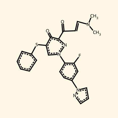 CN(C)/C=C/C(=O)c1nn(-c2ccc(-n3cccn3)cc2F)cc(Sc2ccccc2)c1=O